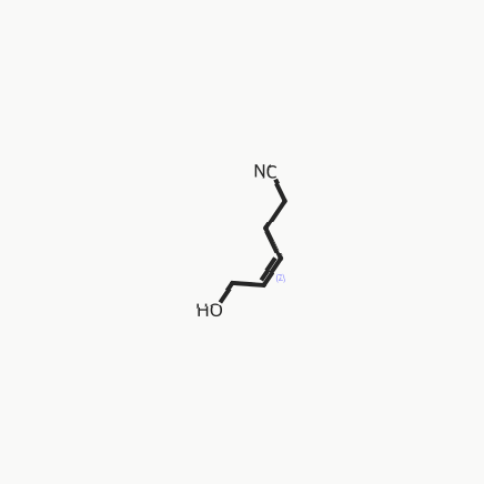 N#CCC/C=C\CO